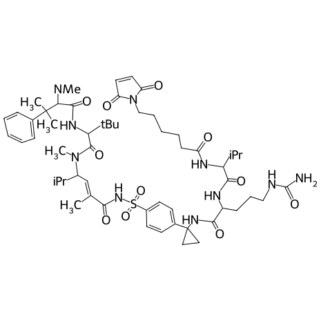 CNC(C(=O)NC(C(=O)N(C)C(C=C(C)C(=O)NS(=O)(=O)c1ccc(C2(NC(=O)C(CCCNC(N)=O)NC(=O)C(NC(=O)CCCCCN3C(=O)C=CC3=O)C(C)C)CC2)cc1)C(C)C)C(C)(C)C)C(C)(C)c1ccccc1